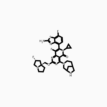 Nc1nc2c(-c3c(F)c4nc(OC[C@@]56CCCN5C[C@H](F)C6)nc(N5CCC6CNC(C6)C5)c4c(=O)n3C3CC3)ccc(F)c2s1